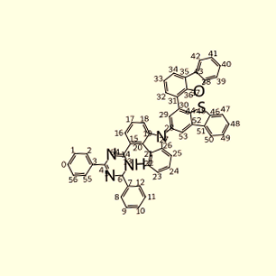 c1ccc(C2=NC(c3ccccc3)NC(c3cccc4c3c3ccccc3n4-c3cc(-c4cccc5c4oc4ccccc45)c4sc5ccccc5c4c3)=N2)cc1